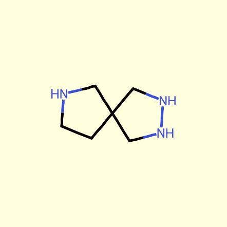 C1CC2(CN1)CNNC2